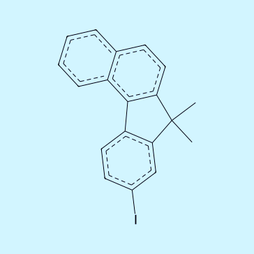 CC1(C)c2cc(I)ccc2-c2c1ccc1ccccc21